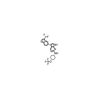 FC(F)c1cnc2ccc(-c3c[nH]c4nc(N[C@H]5CC[C@@H](OC(F)(F)F)CC5)ncc34)cn12